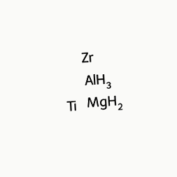 [AlH3].[MgH2].[Ti].[Zr]